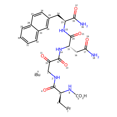 CC[C@H](C)C(NC(=O)[C@H](CC(C)C)NC(=O)O)C(=O)C(=O)N[C@@H](CC(N)=O)C(=O)N[C@@H](Cc1ccc2ccccc2c1)C(N)=O